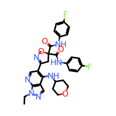 CCn1ncc2c(NC3CCOCC3)c(C3=NOC(C(=O)Nc4ccc(F)cc4)(C(=O)Nc4ccc(F)cc4)C3)cnc21